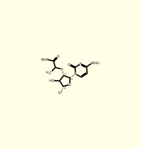 CC[C@H]1O[C@@H](n2ccc(NC(C)=O)nc2=O)[C@@H](OC(C)C(=O)NC)C1O